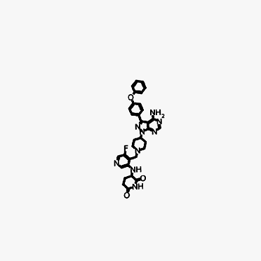 Nc1ncnc2c1c(-c1ccc(Oc3ccccc3)cc1)nn2C1CCN(Cc2c(F)cncc2NC2CCC(=O)NC2=O)CC1